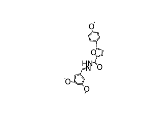 COc1ccc(-c2ccc(C(=O)N/N=C/c3cc(OC)cc(OC)c3)o2)cc1